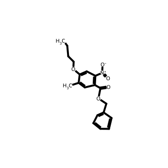 CCCCOc1cc([N+](=O)[O-])c(C(=O)OCc2ccccc2)cc1C